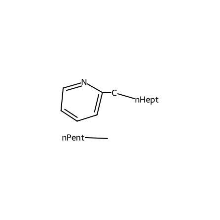 CCCCCC.CCCCCCCCc1ccccn1